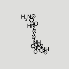 COc1cc(C(=O)NCCOCCOCCNc2cccc3c2C(=O)N(C2CCC(=O)NC2=O)C3=O)ccc1N